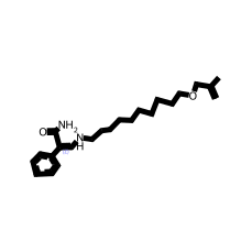 C=C(C)COCCCCCCCCCCN/C=C(\C(N)=O)c1ccccc1